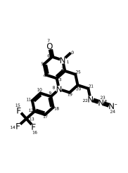 Cn1c2c(ccc1=O)N(c1ccc(C(F)(F)F)cc1)CC(CN=[N+]=[N-])C2